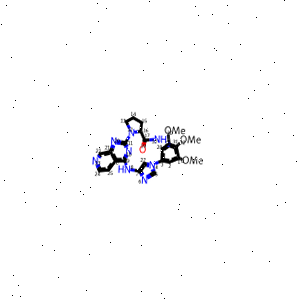 COc1cc(-n2cnc(Nc3nc(N4CCCC4C(N)=O)nc4cnccc34)c2)cc(OC)c1OC